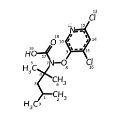 CC(C)CC(C)(C)N(Oc1cnc(Cl)cc1Cl)C(=O)O